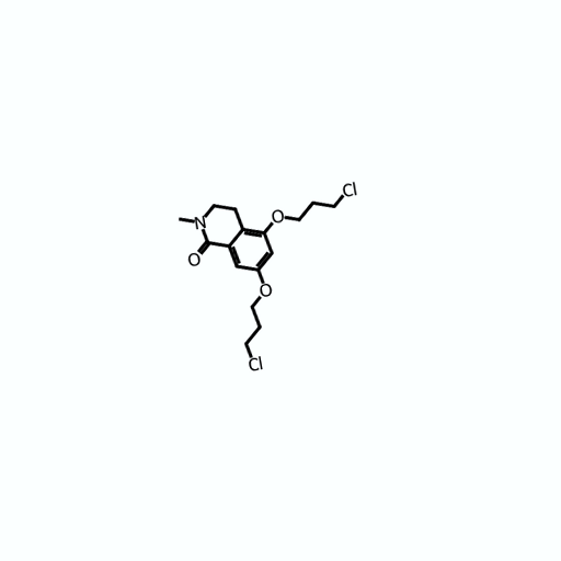 CN1CCc2c(OCCCCl)cc(OCCCCl)cc2C1=O